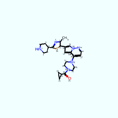 CC1N=C(C2CCNCC2)SC1c1cc2c(N3CCN(C(=O)C4CC4)CC3)ccnn2c1